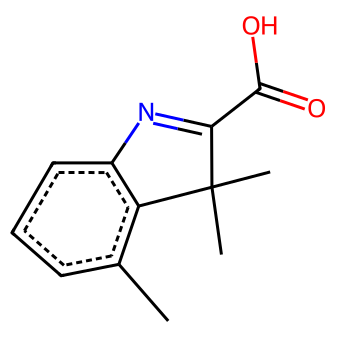 Cc1cccc2c1C(C)(C)C(C(=O)O)=N2